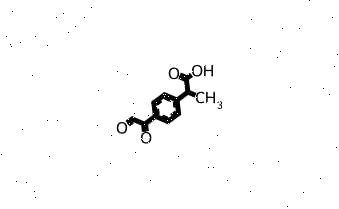 CC(C(=O)O)c1ccc(C(=O)C=O)cc1